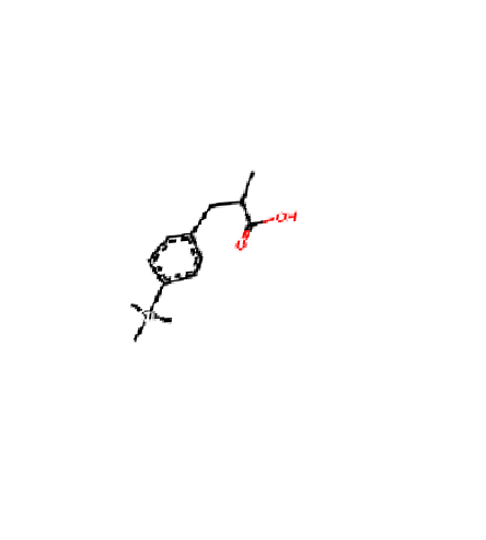 CC(Cc1cc[c]([Sn]([CH3])([CH3])[CH3])cc1)C(=O)O